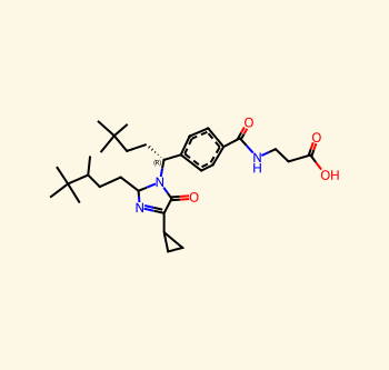 CC(CCC1N=C(C2CC2)C(=O)N1[C@H](CCC(C)(C)C)c1ccc(C(=O)NCCC(=O)O)cc1)C(C)(C)C